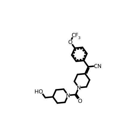 N#CC(=C1CCN(C(=O)N2CCC(CO)CC2)CC1)c1ccc(OC(F)(F)F)cc1